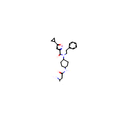 CC(N)CC(=O)NC1CCC(N(CCc2ccccc2)C(=O)c2cc(C3CC3)on2)CC1